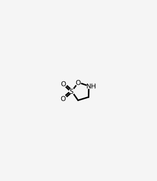 O=S1(=O)CCNO1